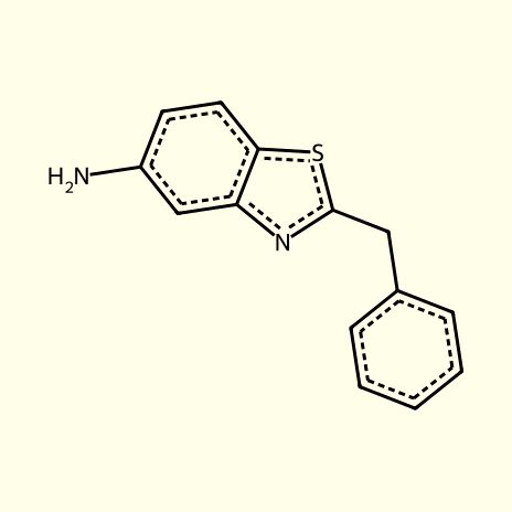 Nc1ccc2sc(Cc3ccccc3)nc2c1